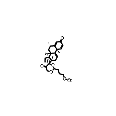 CCOCCCC1OCC(=O)[C@]2(CC[C@H]3[C@@H]4C[C@H](C)C5=CC(=O)C=C[C@]5(C)C4=CC[C@@]32C)O1